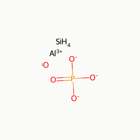 O=P([O-])([O-])[O-].[Al+3].[O].[SiH4]